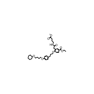 CCOC(=O)c1ccc(OCCCc2ccc(OCCCCOC3CCCCC3)cc2)c(CC(=O)NCCCC(=O)OC)c1